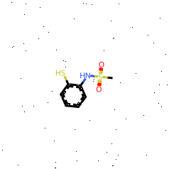 CS(=O)(=O)Nc1ccccc1S